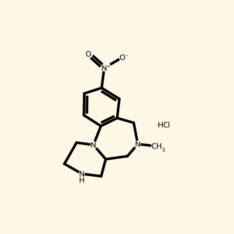 CN1Cc2cc([N+](=O)[O-])ccc2N2CCNCC2C1.Cl